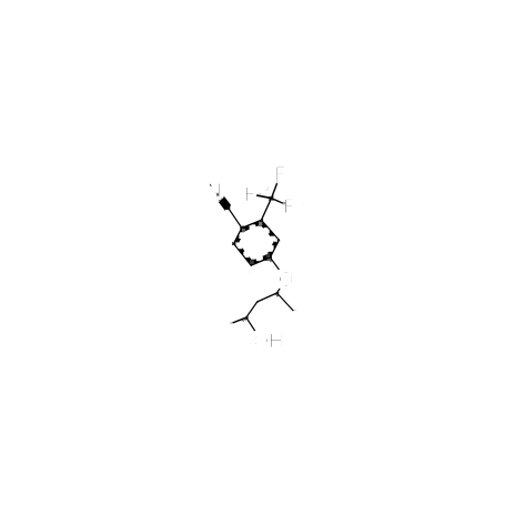 CC(O)CC(C)Oc1ccc(C#N)c(C(F)(F)F)c1